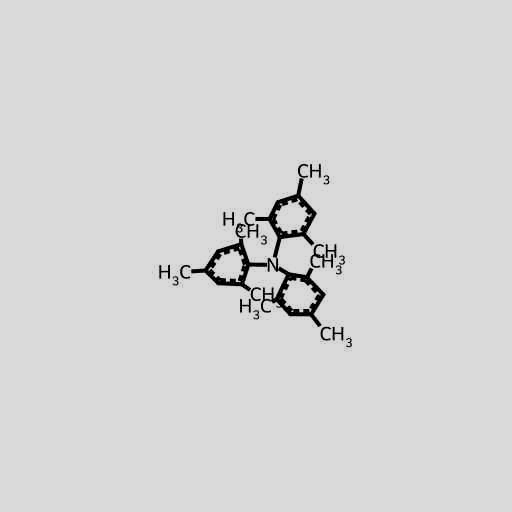 Cc1cc(C)c(N(c2c(C)cc(C)cc2C)c2c(C)cc(C)cc2C)c(C)c1